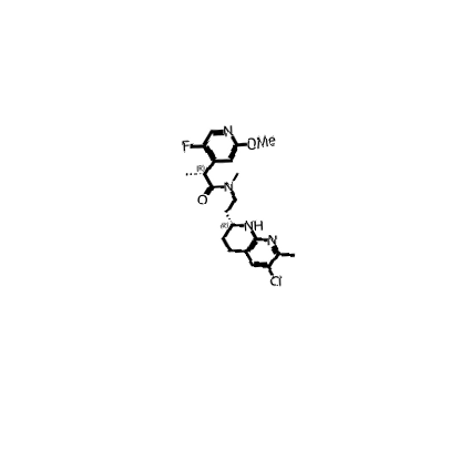 COc1cc([C@@H](C)C(=O)N(C)CC[C@H]2CCc3cc(Cl)c(C)nc3N2)c(F)cn1